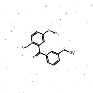 O=C(c1cccc(OC(F)(F)F)c1)c1cc(OC(F)(F)F)ccc1[AsH2]